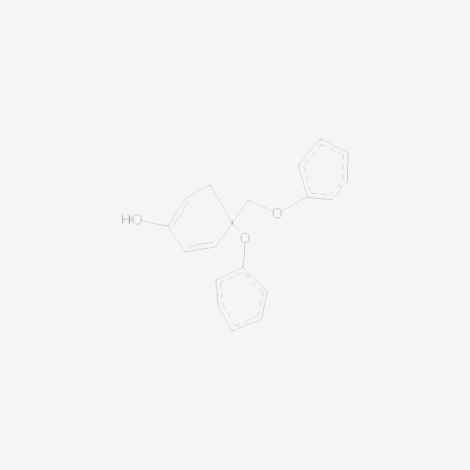 OC1=CCC(COc2ccccc2)(Oc2ccccc2)C=C1